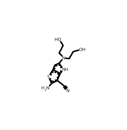 N#Cc1c(N)sc2cc(N(CCO)CCO)[nH]c12